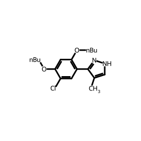 CCCCOc1cc(OCCCC)c(-c2n[nH]cc2C)cc1Cl